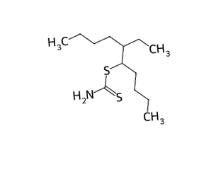 CCCCC(CC)C(CCCC)SC(N)=S